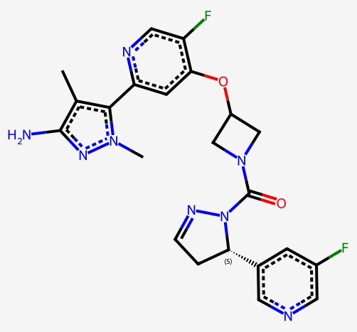 Cc1c(N)nn(C)c1-c1cc(OC2CN(C(=O)N3N=CC[C@H]3c3cncc(F)c3)C2)c(F)cn1